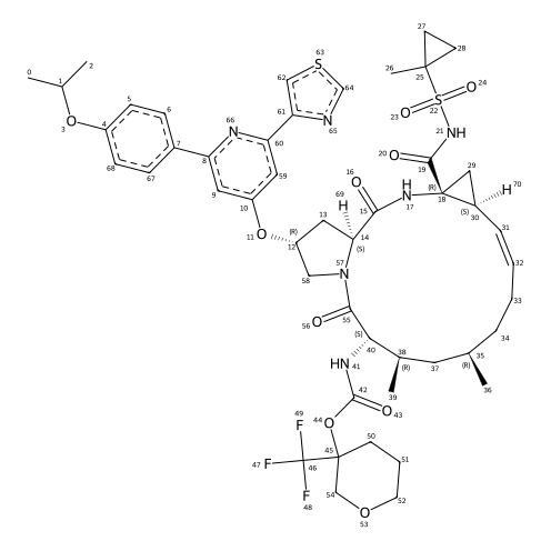 CC(C)Oc1ccc(-c2cc(O[C@@H]3C[C@H]4C(=O)N[C@]5(C(=O)NS(=O)(=O)C6(C)CC6)C[C@H]5C=CCC[C@@H](C)C[C@@H](C)[C@H](NC(=O)OC5(C(F)(F)F)CCCOC5)C(=O)N4C3)cc(-c3cscn3)n2)cc1